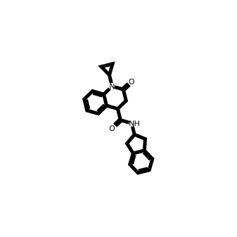 O=C(NC1Cc2ccccc2C1)C1CC(=O)N(C2CC2)c2ccccc21